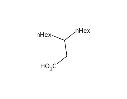 CCCCCCC(CCCCCC)CC(=O)O